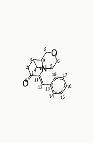 O=C1CC2CC3COCC2N3/C1=C\c1ccccc1